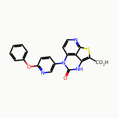 O=C(O)c1sc2nccc3c2c1NC(=O)N3c1ccc(Oc2ccccc2)nc1